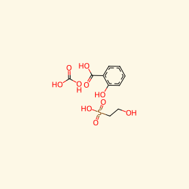 O=C(O)O.O=C(O)c1ccccc1O.O=S(=O)(O)CCO